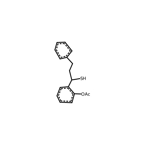 CC(=O)Oc1ccccc1C(S)CCc1ccccc1